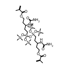 C=C(C)C(=O)OCCC(CC[Si](O[Si](C)(C)C)(O[Si](C)(C)C)O[Si](CCC(CCOC(=O)C(=C)C)NC(N)=O)(O[Si](C)(C)C)O[Si](C)(C)C)NC(N)=O